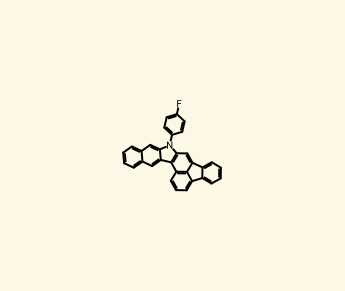 Fc1ccc(-n2c3cc4ccccc4cc3c3c4cccc5c4c(cc32)-c2ccccc2-5)cc1